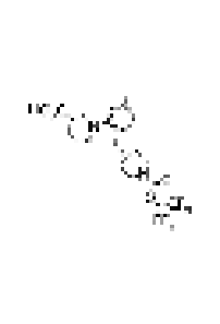 Cc1ccc(CN2CCN(C(=O)OC(C(F)(F)F)C(F)(F)F)CC2)c(N2CCC[C@H](C(=O)O)C2)c1